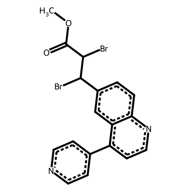 COC(=O)C(Br)C(Br)c1ccc2nccc(-c3ccncc3)c2c1